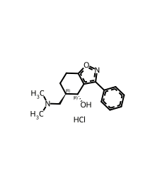 CN(C)C[C@H]1CCc2onc(-c3ccccc3)c2[C@@H]1O.Cl